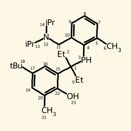 CCC(CC)(Pc1c(C)cccc1CN(C(C)C)C(C)C)c1cc(C(C)(C)C)cc(C)c1O